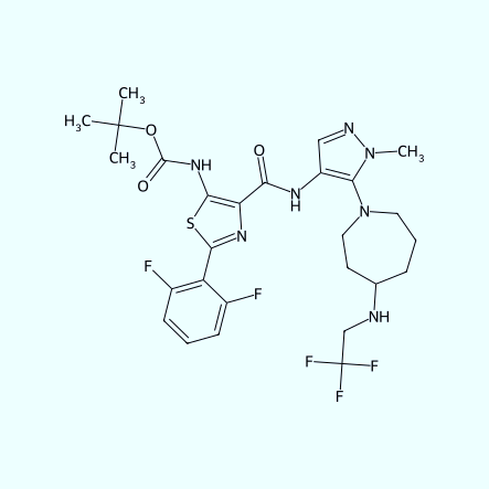 Cn1ncc(NC(=O)c2nc(-c3c(F)cccc3F)sc2NC(=O)OC(C)(C)C)c1N1CCCC(NCC(F)(F)F)CC1